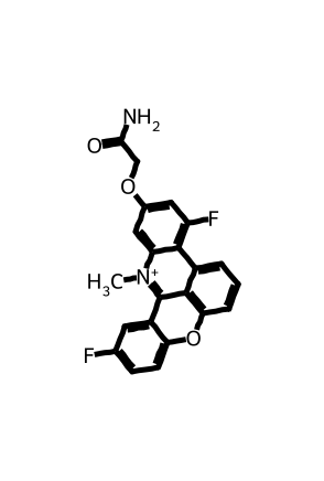 C[n+]1c2c3c(cccc3c3c(F)cc(OCC(N)=O)cc31)Oc1ccc(F)cc1-2